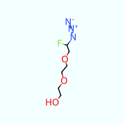 [N-]=[N+]=NC(F)COCCOCCO